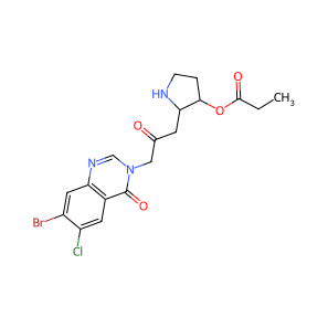 CCC(=O)OC1CCNC1CC(=O)Cn1cnc2cc(Br)c(Cl)cc2c1=O